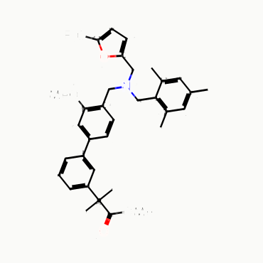 COC(=O)C(C)(C)c1cccc(-c2ccc(CN(Cc3ccc(C(F)(F)F)o3)Cc3c(C)cc(C)cc3C)c(OC)c2)c1